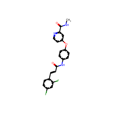 CNC(=O)c1cc(Oc2ccc(NC(=O)/C=C/c3ccc(F)cc3F)cc2)ccn1